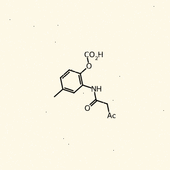 CC(=O)CC(=O)Nc1cc(C)ccc1OC(=O)O